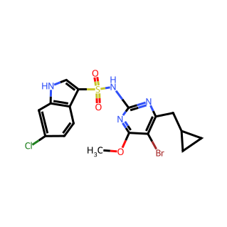 COc1nc(NS(=O)(=O)c2c[nH]c3cc(Cl)ccc23)nc(CC2CC2)c1Br